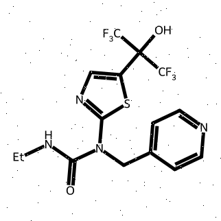 CCNC(=O)N(Cc1ccncc1)c1ncc(C(O)(C(F)(F)F)C(F)(F)F)s1